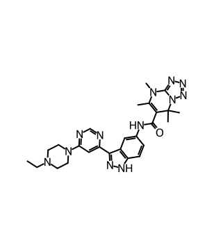 CCN1CCN(c2cc(-c3n[nH]c4ccc(NC(=O)C5=C(C)N(C)c6nnnn6C5(C)C)cc34)ncn2)CC1